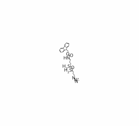 [N-]=[N+]=NCCC[SiH2]O[SiH2]CCCNC(=O)OCC1c2ccccc2-c2ccccc21